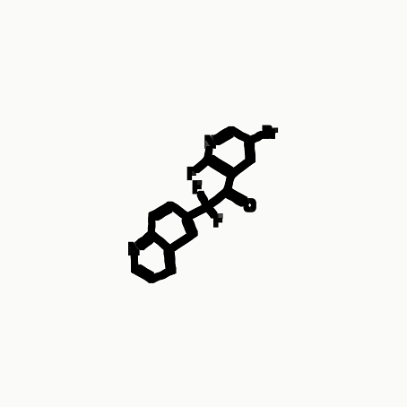 O=C(c1cc(Br)cnc1F)C(F)(F)c1ccc2ncccc2c1